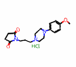 COc1ccc(N2CCN(CCCN3C(=O)CCC3=O)CC2)cc1.Cl